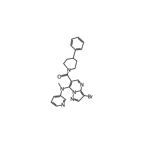 CN(c1cccnc1)c1c(C(=O)N2CCC(c3ccccc3)CC2)cnc2c(Br)cnn12